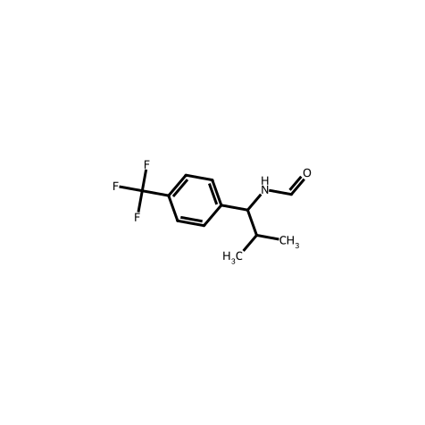 CC(C)C(NC=O)c1ccc(C(F)(F)F)cc1